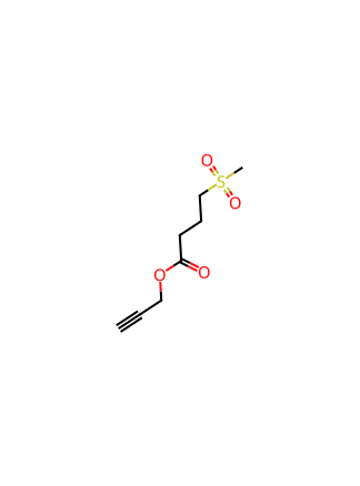 C#CCOC(=O)CCCS(C)(=O)=O